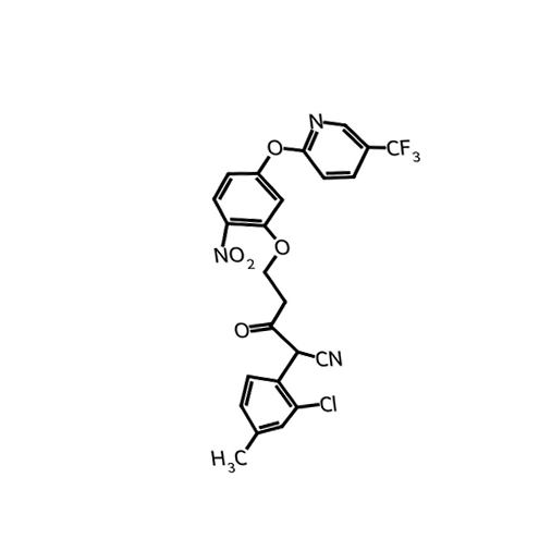 Cc1ccc(C(C#N)C(=O)CCOc2cc(Oc3ccc(C(F)(F)F)cn3)ccc2[N+](=O)[O-])c(Cl)c1